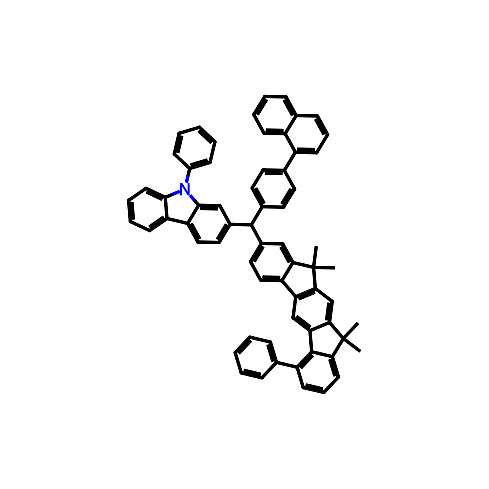 CC1(C)c2cc(C(c3ccc(-c4cccc5ccccc45)cc3)c3ccc4c5ccccc5n(-c5ccccc5)c4c3)ccc2-c2cc3c(cc21)C(C)(C)c1cccc(-c2ccccc2)c1-3